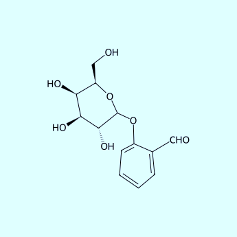 O=Cc1ccccc1OC1O[C@H](CO)[C@H](O)[C@H](O)[C@H]1O